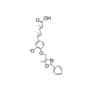 COc1cc(/C=C/C=C/C(=O)O)ccc1OCc1nc(-c2ccccc2)oc1C